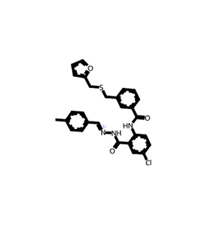 Cc1ccc(/C=N/NC(=O)c2cc(Cl)ccc2NC(=O)c2cccc(CSCc3ccco3)c2)cc1